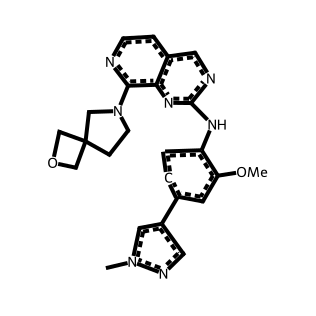 COc1cc(-c2cnn(C)c2)ccc1Nc1ncc2ccnc(N3CCC4(COC4)C3)c2n1